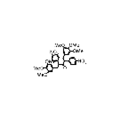 COc1cc(CC(C(=O)C(Cc2cc(OC)c(OC)c(OC)c2)c2ccc([N+](=O)[O-])cc2)c2ccc([N+](=O)[O-])cc2)cc(OC)c1OC